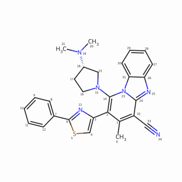 Cc1c(-c2csc(-c3ccccc3)n2)c(N2CC[C@H](N(C)C)C2)n2c(nc3ccccc32)c1C#N